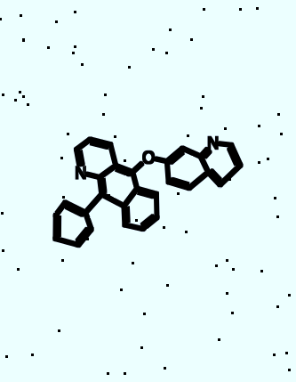 c1ccc(-c2c3ccccc3c(Oc3ccc4cccnc4c3)c3cccnc23)cc1